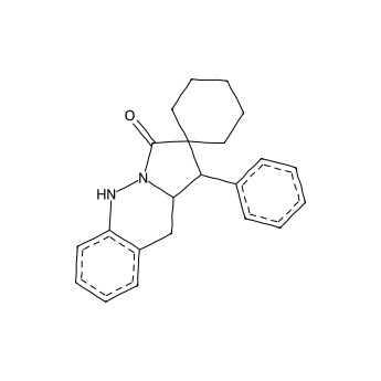 O=C1N2Nc3ccccc3CC2C(c2ccccc2)C12CCCCC2